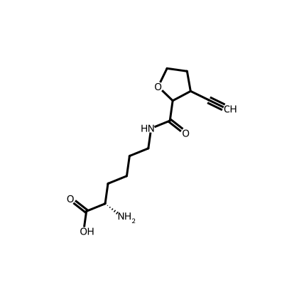 C#CC1CCOC1C(=O)NCCCC[C@H](N)C(=O)O